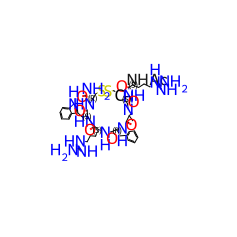 CC(=O)N[C@@H](CCCNC(=N)N)C(=O)N[C@H]1CCSSC[C@@H](C(N)=O)NC(=O)[C@H](Cc2c[nH]c3ccccc23)NC(=O)[C@H](CCCNC(=N)N)NC(=O)[C@@H](Cc2ccccc2)NC(=O)C(C)(C)NC1=O